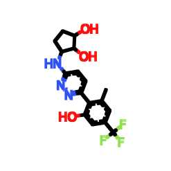 Cc1cc(C(F)(F)F)cc(O)c1-c1ccc(NC2CCC(O)C2O)nn1